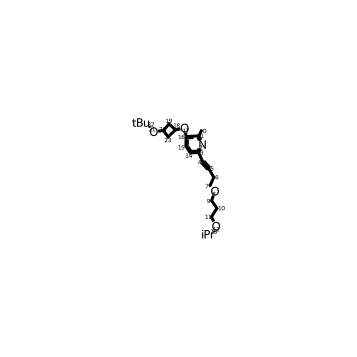 Cc1nc(C#CCCOCCCOC(C)C)ccc1OC1CC(OC(C)(C)C)C1